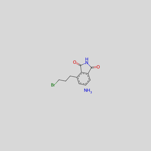 N.O=C1NC(=O)c2c(CCCBr)cccc21